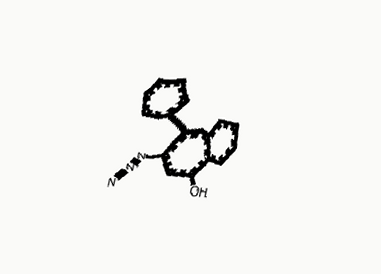 [N-]=[N+]=Nc1cc(O)c2ccccc2c1-c1ccccc1